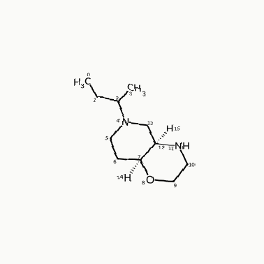 CCC(C)N1CC[C@@H]2OCCN[C@@H]2C1